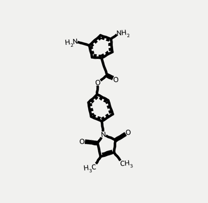 CC1=C(C)C(=O)N(c2ccc(OC(=O)c3cc(N)cc(N)c3)cc2)C1=O